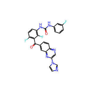 O=C(Nc1cccc(F)c1)Nc1ccc(F)c(C(=O)c2ccc3ncc(-n4ccnc4)nc3c2)c1F